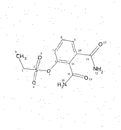 CCS(=O)(=O)Oc1cccc(C(N)=O)c1C(N)=O